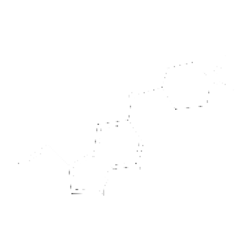 O=Cc1c[nH]c2ncc(OC3CCS(=O)(=O)CC3)cc12